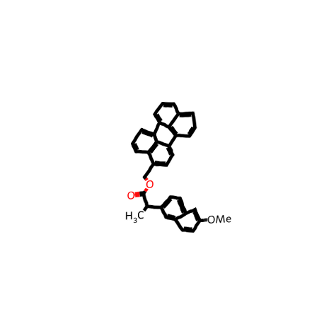 COc1ccc2cc(C(C)C(=O)OCc3ccc4c5cccc6cccc(c7cccc3c74)c65)ccc2c1